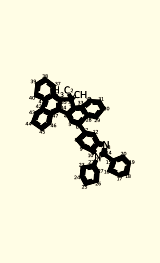 CC1(C)c2c(cc(-c3ccc4c(c3)nc(-c3ccccc3)n4-c3ccccc3)c3ccccc23)-c2c1c1ccccc1c1ccccc21